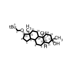 CC(C)(C)CO[C@H]1CCC2C3CC[C@@H]4C[C@@](C)(O)CC[C@]4(C)C3CC[C@@]21C